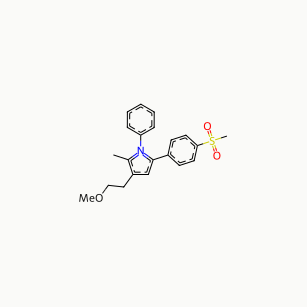 COCCc1cc(-c2ccc(S(C)(=O)=O)cc2)n(-c2ccccc2)c1C